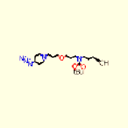 C#CCCCN(CCCOCCCN1CCC(N=[N+]=[N-])CC1)C(=O)OC(C)(C)C